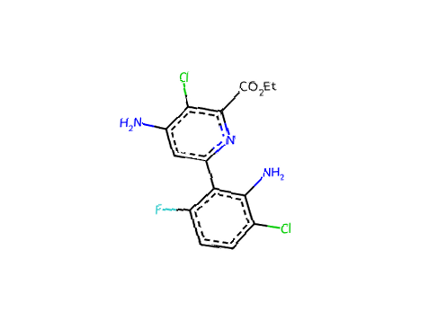 CCOC(=O)c1nc(-c2c(F)ccc(Cl)c2N)cc(N)c1Cl